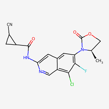 C[C@@H]1COC(=O)N1c1cc2cc(NC(=O)C3CC3C#N)ncc2c(Cl)c1F